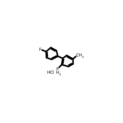 Cc1ccc(P)c(-c2ccc(F)cc2)c1.Cl